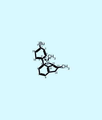 CCC(C)c1ccc(-c2c3ccc4c2C(=C(C)[CH]4)[Si]3(C)C)cc1